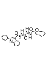 O=C(NNC(=O)c1cc2ccccc2o1)NSC(=O)c1cc(-c2ccccc2)nc2ccccc12